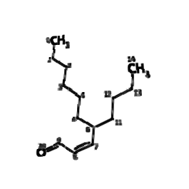 CCCCCCC(/C=C\C=O)CCCC